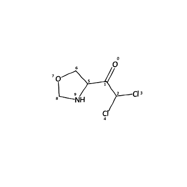 O=C(C(Cl)Cl)C1COCN1